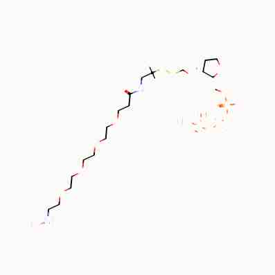 B[C@H]1C[C@@H](OCSSC(C)(C)CNC(=O)CCOCCOCCOCCOCCNO)[C@@H](COP(=O)(O)OP(=O)(O)OP(=O)(O)O)O1